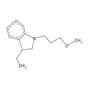 CCC1CN(CCCOC)c2ccccc21